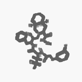 CC(C)(C)NC(=O)C1C[C@@H]2CCCC[C@@H]2CN1CC(O)C(Cc1ccccc1)NC(=O)[C@@H](NC(=O)COc1cccc(F)c1)C(C)(C)S(C)(=O)=O